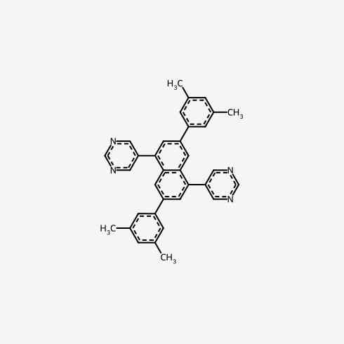 Cc1cc(C)cc(-c2cc(-c3cncnc3)c3cc(-c4cc(C)cc(C)c4)cc(-c4cncnc4)c3c2)c1